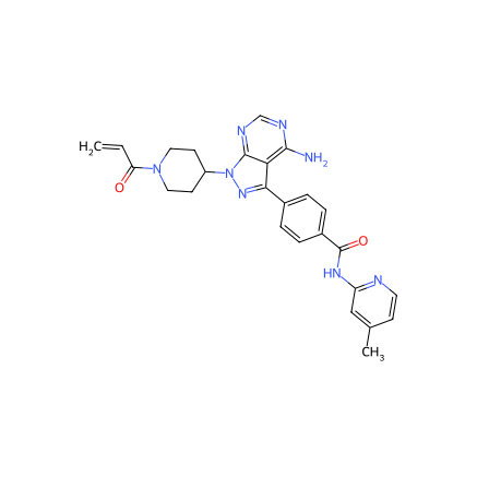 C=CC(=O)N1CCC(n2nc(-c3ccc(C(=O)Nc4cc(C)ccn4)cc3)c3c(N)ncnc32)CC1